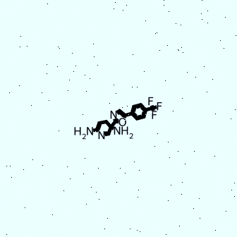 NC1=CCC(N)(c2ncc(-c3ccc(C(F)(F)F)cc3)o2)C=N1